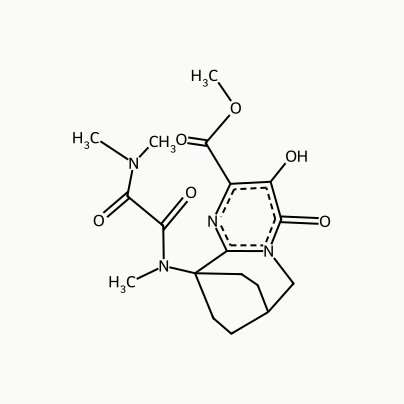 COC(=O)c1nc2n(c(=O)c1O)CC1CCC2(N(C)C(=O)C(=O)N(C)C)CC1